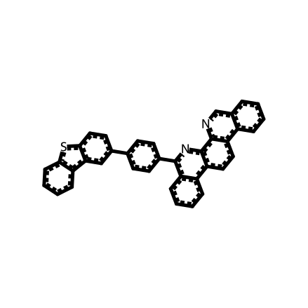 c1ccc2c(c1)cnc1c2ccc2c3ccccc3c(-c3ccc(-c4ccc5sc6ccccc6c5c4)cc3)nc21